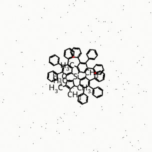 CC1=C(C)C(C)C([Si](c2cc(-c3ccccc3)c(-c3ccccc3)c(-c3ccccc3)c2C)(c2cc(-c3ccccc3)c(-c3ccccc3)c(-c3ccccc3)c2C)c2cc(-c3ccccc3)c(-c3ccccc3)c(-c3ccccc3)c2C)=C1C